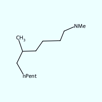 CCCCCCC(C)CCCCNC